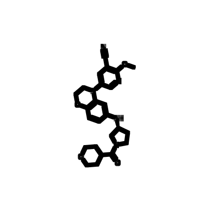 COc1ncc(N2CCOc3ccc(N[C@H]4CCN(C(=O)C5CCOCC5)C4)cc32)cc1C#N